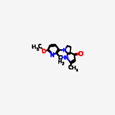 COc1ccc(N2CCc3c2[nH]c(C)cc3=O)c(C)n1